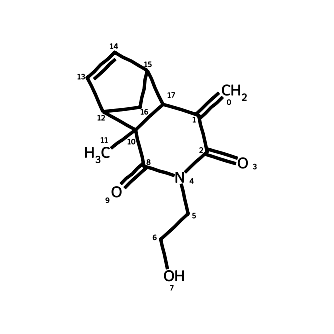 C=C1C(=O)N(CCO)C(=O)C2(C)C3C=CC(C3)C12